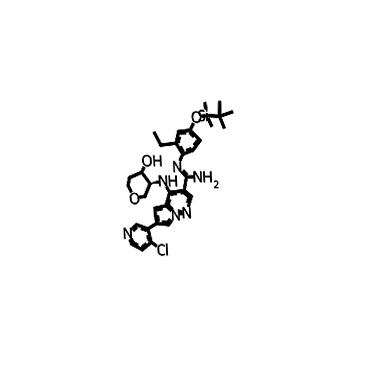 CCc1cc(O[Si](C)(C)C(C)(C)C)ccc1N=C(N)c1cnn2cc(-c3cnccc3Cl)cc2c1N[C@H]1COCCC1O